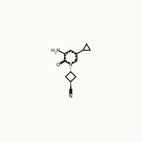 N#C[C@H]1C[C@H](n2cc(C3CC3)cc(N)c2=O)C1